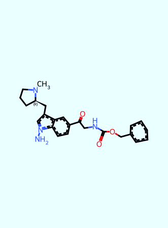 CN1CCC[C@@H]1Cc1cn(N)c2ccc(C(=O)CNC(=O)OCc3ccccc3)cc12